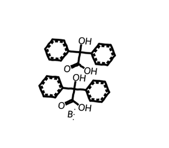 O=C(O)C(O)(c1ccccc1)c1ccccc1.O=C(O)C(O)(c1ccccc1)c1ccccc1.[B]